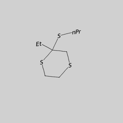 CCCSC1(CC)CSCCS1